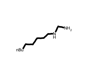 CCCCCCCCCNCN